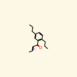 C/C=C/C(=O)c1cc(CCC)ccc1CCC